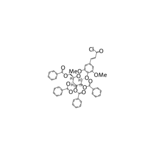 COc1cc(C=CC(=O)Cl)cc(OC)c1O[C@H]1O[C@H](COC(=O)c2ccccc2)[C@@H](OC(=O)c2ccccc2)[C@H](OC(=O)c2ccccc2)[C@@H]1OC(=O)c1ccccc1